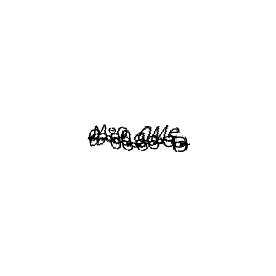 C=CC(=O)OCCOCC1CCC(C(=O)Oc2ccc(OC(=O)C3CCC(C(=O)Oc4ccc(OC(=O)C5CCC(COCCOC(=O)C=C)CC5)cc4C(=O)OC)CC3)c(C(=O)OC)c2)CC1